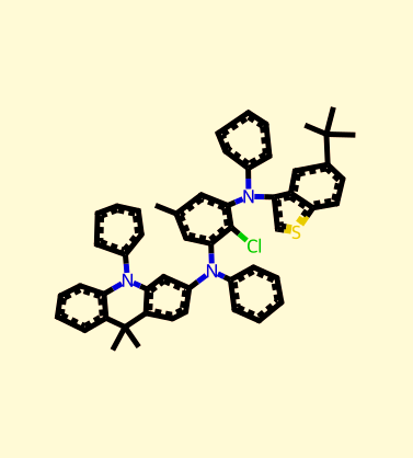 Cc1cc(N(c2ccccc2)c2ccc3c(c2)N(c2ccccc2)c2ccccc2C3(C)C)c(Cl)c(N(c2ccccc2)c2csc3ccc(C(C)(C)C)cc23)c1